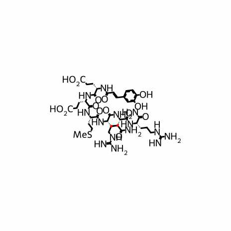 CSCC[C@H](NC(=O)[C@H](CCC(=O)O)NC(=O)[C@H](CCC(=O)O)NC(=O)/C=C/c1ccc(O)c(O)c1)C(=O)N[C@@H](CCC(N)=O)C(=O)N[C@@H](CCCNC(=N)N)C(=O)N[C@@H](CCCNC(=N)N)C(N)=O